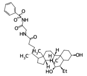 CC[C@@H]1C2C[C@H](O)CCC2(C)[C@H]2CCC3(C)C([C@H](C)CCC(=O)NCC(=O)NS(=O)(=O)c4ccccc4)CC[C@H]3[C@@H]2[C@@H]1O